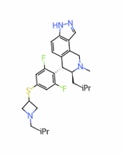 CC(C)C[C@H]1[C@H](c2c(F)cc(SC3CN(CC(C)C)C3)cc2F)c2ccc3[nH]ncc3c2CN1C